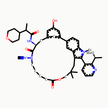 C#[N+]N1CCCCC(=O)OCC(C)(C)Cc2c(-c3cccnc3[C@H](C)OC)n(CC)c3ccc(cc23)-c2cc(O)cc(c2)C[C@H](NC(=O)C(C)C2CCOCC2)C1=O